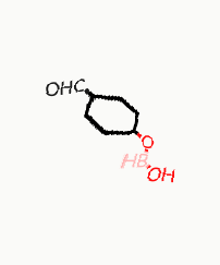 O=CC1CCC(OBO)CC1